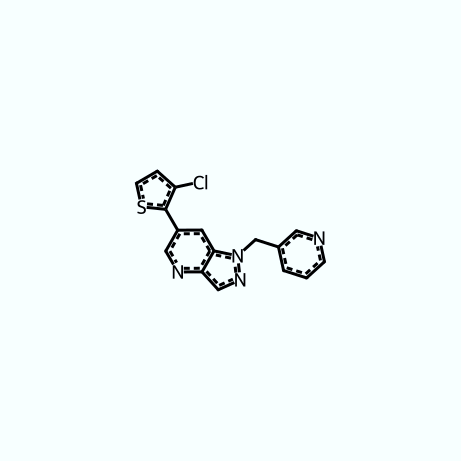 Clc1ccsc1-c1cnc2cnn(Cc3cccnc3)c2c1